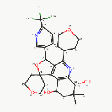 CC1(C)CC(O)c2c(nc(C3CCOCC3)c3c2C2(CCOCC2)OC3c2ccc(C(F)(F)F)nc2)[C@@H]1O